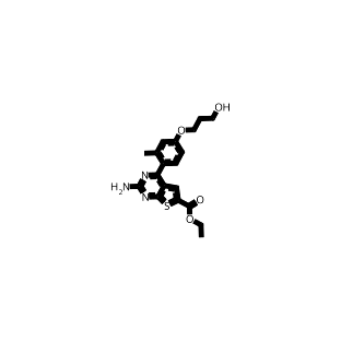 CCOC(=O)c1cc2c(-c3ccc(OCCCO)cc3C)nc(N)nc2s1